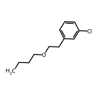 [CH2]CCCOCCc1cccc(Cl)c1